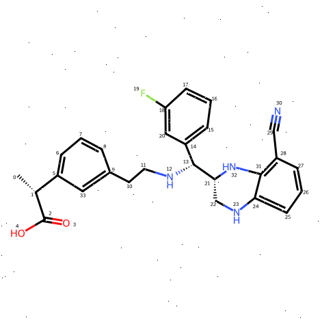 C[C@@H](C(=O)O)c1cccc(CCN[C@H](c2cccc(F)c2)[C@H]2CNc3cccc(C#N)c3N2)c1